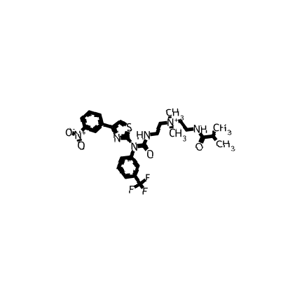 CC(C)C(=O)NCC[N+](C)(C)CCNC(=O)N(c1cccc(C(F)(F)F)c1)c1nc(-c2cccc([N+](=O)[O-])c2)cs1